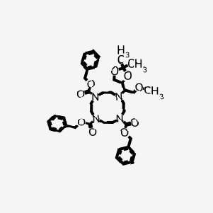 COCC(C1COC(C)(C)O1)N1CCN(C(=O)OCc2ccccc2)CCN(C(=O)OCc2ccccc2)CCN(C(=O)OCc2ccccc2)CC1